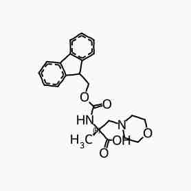 C[C@](CN1CCOCC1)(NC(=O)OCC1c2ccccc2-c2ccccc21)C(=O)O